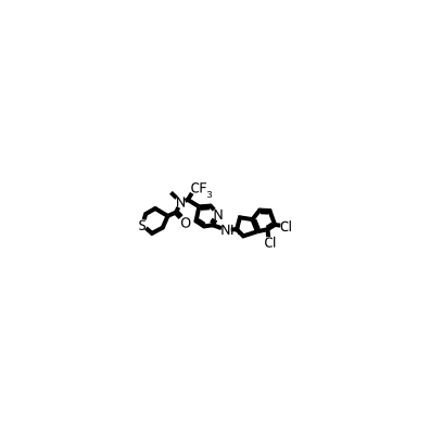 CN(C(=O)C1CCSCC1)C(c1ccc(NC2Cc3ccc(Cl)c(Cl)c3C2)nc1)C(F)(F)F